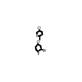 Fc1ccc(OCc2ccc(Cl)cn2)cc1Br